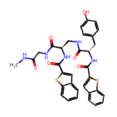 CNC(=O)CNC(=O)[C@@H](CNC(=O)[C@H](Cc1ccc(O)cc1)NC(=O)c1cc2ccccc2s1)NC(=O)c1cc2ccccc2s1